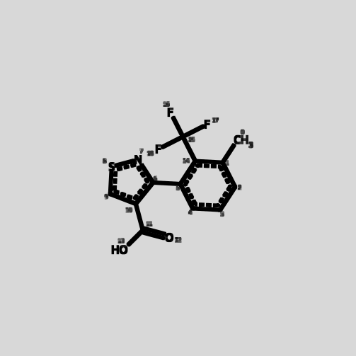 Cc1cccc(-c2nscc2C(=O)O)c1C(F)(F)F